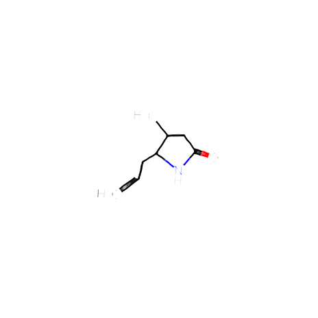 C=CCC1NC(=O)CC1C